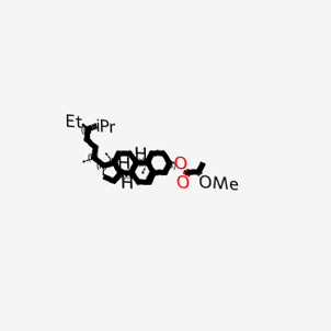 CC[C@H](CC[C@@H](C)[C@H]1CC[C@H]2[C@@H]3CC=C4C[C@@H](OC(=O)C(C)OC)CC[C@]4(C)[C@H]3CC[C@]12C)C(C)C